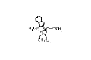 CCC[CH2][Sn]([CH2]CCC)([CH2]CCC)[C]1=Cc2ccccc2C1P(C)C